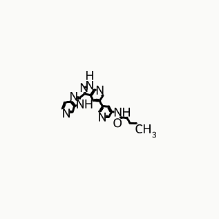 CCCCC(=O)Nc1cncc(-c2cnc3[nH]nc(-c4nc5ccncc5[nH]4)c3c2)c1